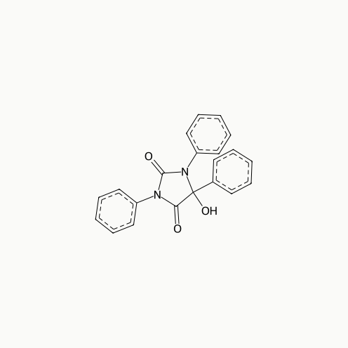 O=C1N(c2ccccc2)C(=O)C(O)(c2ccccc2)N1c1ccccc1